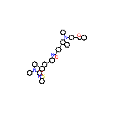 c1ccc(N(c2ccccc2)c2ccccc2-c2cc(-c3nc4ccccc4s3)cc3cc(-c4ccc5oc(-c6ccc(-c7ccc(N(c8ccccc8)c8ccc(-c9cc%10ccccc%10o9)cc8)c8ccccc78)cc6)nc5c4)ccc23)cc1